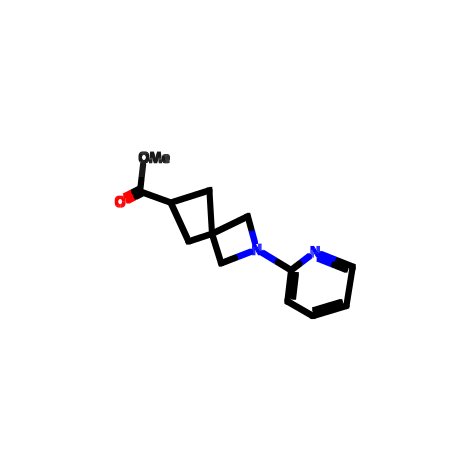 COC(=O)C1CC2(C1)CN(c1ccccn1)C2